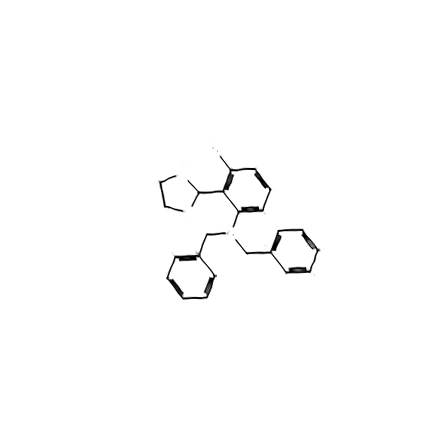 O=[N+]([O-])c1cccc(N(Cc2ccccc2)Cc2ccccc2)c1C1OCCO1